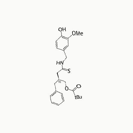 COc1cc(CNC(=S)C[C@@H](COC(=O)C(C)(C)C)Cc2ccccc2)ccc1O